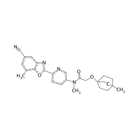 Cc1cc(C#N)cc2nc(-c3ccc(N(C)C(=O)COC45CCC(C)(CC4)CC5)cn3)oc12